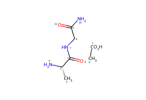 CC(=O)O.C[C@H](N)C(=O)NCC(N)=O